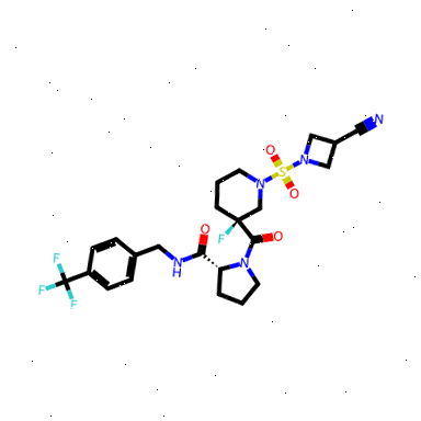 N#CC1CN(S(=O)(=O)N2CCC[C@@](F)(C(=O)N3CCC[C@@H]3C(=O)NCc3ccc(C(F)(F)F)cc3)C2)C1